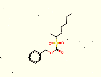 CCCCCC(C)S(=O)(=O)C(=O)OCc1ccccc1